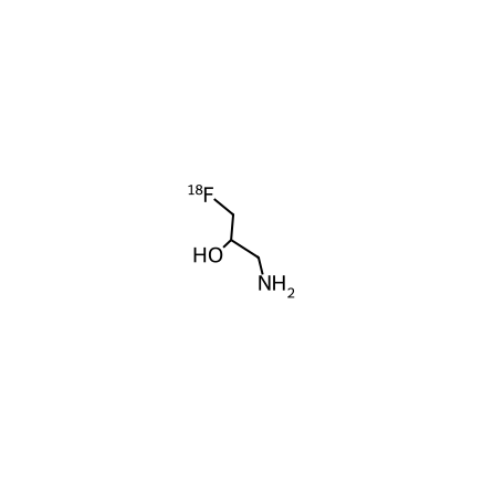 NCC(O)C[18F]